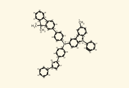 Cc1ccc2c(c1)c1cc(N(c3ccc(-c4ccc5c(c4)C(C)(C)c4ccccc4-5)cc3)c3ccc(-c4ccc(-c5ccccc5)s4)cc3)ccc1n2-c1c#cccc1